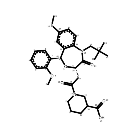 COc1ccccc1[C@@H]1O[C@@H](CC(=O)N2CCCC(C(=O)O)C2)C(=O)N(CC(C)(C)C)c2ccc(SC)cc21